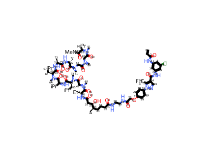 C=CC(=O)Nc1cc(Cl)cc(NC(=O)c2cnn(-c3ccc(OCC(=O)NCCNC(=O)CCC[C@@H](C)[C@@H](O)CC(=O)N[C@@H](CC)C(=O)N(C)CC(=O)N(C)[C@@H](CC(C)C)C(=O)NC(C(=O)N(C)[C@@H](CC(C)C)C(=O)N[C@@H](C)C(=O)N[C@H](C)C(=O)N(C)CC(=O)N(C)CC(=O)N(C)C(C(=O)NC)C(C)C)C(C)C)cc3)c2C(F)(F)F)c1